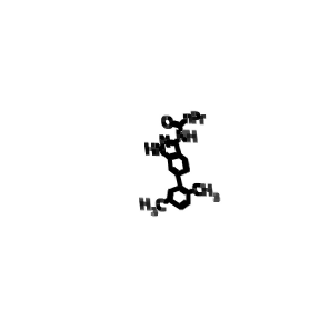 CCCC(=O)Nc1n[nH]c2cc(-c3cc(C)ccc3C)ccc12